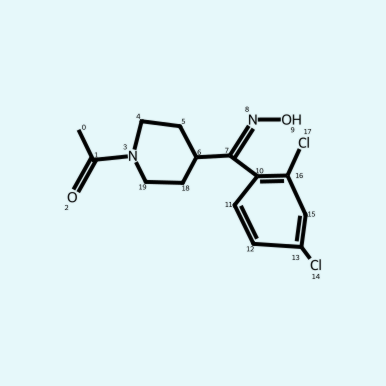 CC(=O)N1CCC(C(=NO)c2ccc(Cl)cc2Cl)CC1